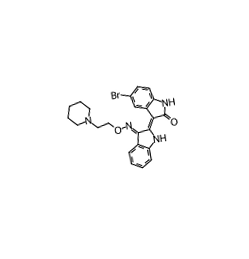 O=C1Nc2ccc(Br)cc2/C1=C1/Nc2ccccc2/C1=N\OCCN1CCCCC1